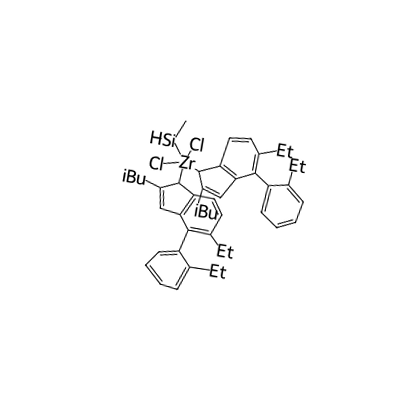 CCc1ccccc1-c1c(CC)ccc2c1C=C(C(C)CC)[CH]2[Zr]([Cl])([Cl])([CH]1C(C(C)CC)=Cc2c1ccc(CC)c2-c1ccccc1CC)[SiH](C)C